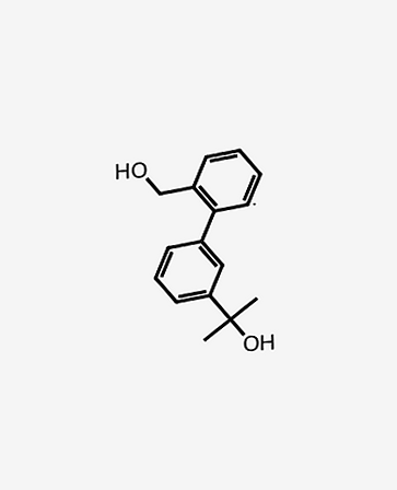 CC(C)(O)c1cccc(-c2[c]cccc2CO)c1